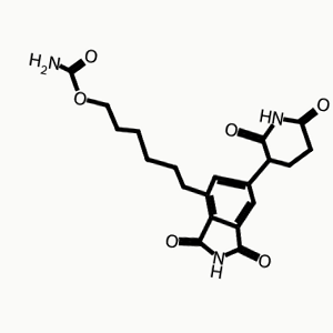 NC(=O)OCCCCCCc1cc(C2CCC(=O)NC2=O)cc2c1C(=O)NC2=O